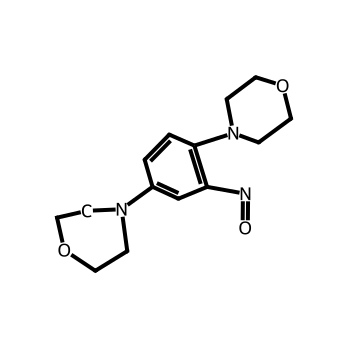 O=Nc1cc(N2CCOCC2)ccc1N1CCOCC1